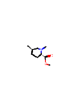 COC(=O)[C@@H]1CC[C@@H](C)CN1C